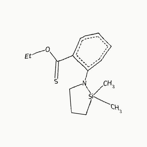 CCOC(=S)c1ccccc1N1CCC[Si]1(C)C